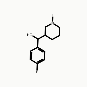 OC(c1ccc(F)cc1)C1CCCN(I)C1